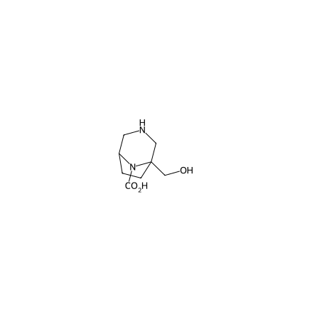 O=C(O)N1C2CCC1(CO)CNC2